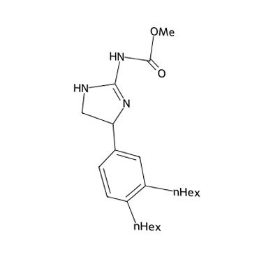 CCCCCCc1ccc(C2CNC(NC(=O)OC)=N2)cc1CCCCCC